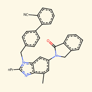 CCCc1nc2c(C)cc(N3Cc4ccccc4C3=O)cc2n1Cc1ccc(-c2ccccc2C#N)cc1